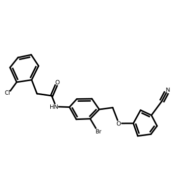 N#Cc1cccc(OCc2ccc(NC(=O)Cc3ccccc3Cl)cc2Br)c1